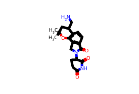 CC1(C)CC(CN)c2ccc3c(c2O1)CN(C1CCC(=O)NC1=O)C3=O